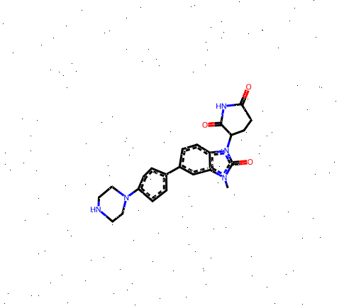 Cn1c(=O)n(C2CCC(=O)NC2=O)c2ccc(-c3ccc(N4CCNCC4)cc3)cc21